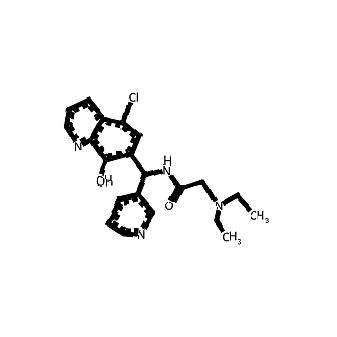 CCN(CC)CC(=O)NC(c1cccnc1)c1cc(Cl)c2cccnc2c1O